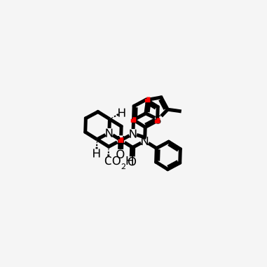 Cc1ccc(CN(C)C(=O)N2[C@H]3CCC[C@@H]2[C@@H](C(=O)O)N(C(=O)N(c2ccccc2)c2ccccc2)C3)s1